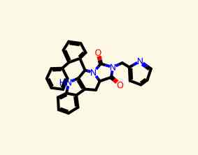 O=C1C2Cc3c([nH]c4ccccc34)C(c3ccccc3-c3ccccc3)N2C(=O)N1Cc1ccccn1